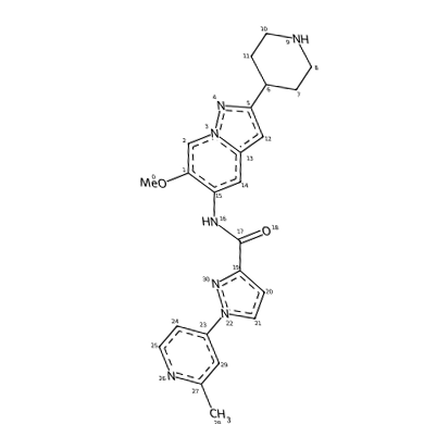 COc1cn2nc(C3CCNCC3)cc2cc1NC(=O)c1ccn(-c2ccnc(C)c2)n1